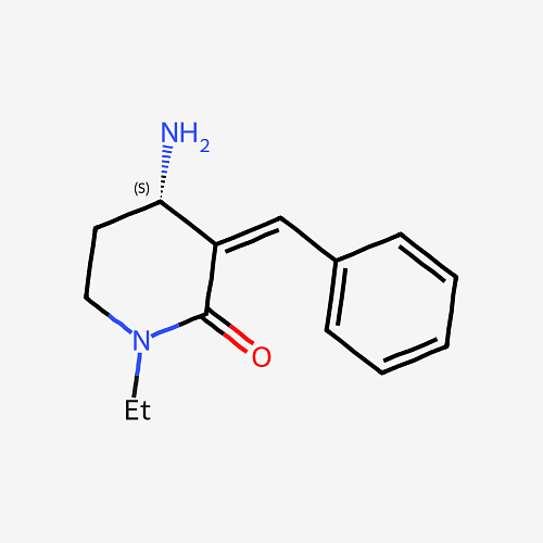 CCN1CC[C@H](N)C(=Cc2ccccc2)C1=O